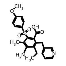 CCc1c(N)c(C)c(S(=O)(=O)c2ccc(OC)cc2)c(C(=O)O)c1Cc1cccnc1